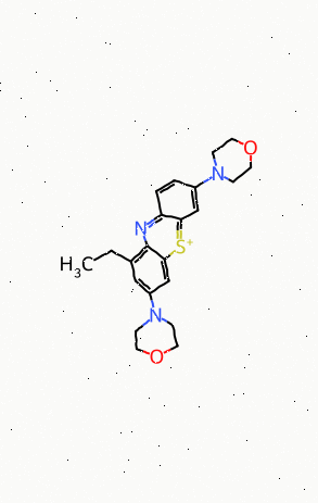 CCc1cc(N2CCOCC2)cc2[s+]c3cc(N4CCOCC4)ccc3nc12